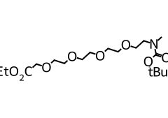 CCOC(=O)COCCOCCOCCOCCN(C)C(=O)OC(C)(C)C